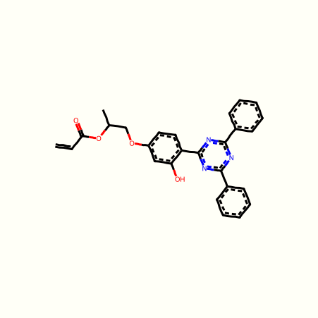 C=CC(=O)OC(C)COc1ccc(-c2nc(-c3ccccc3)nc(-c3ccccc3)n2)c(O)c1